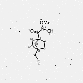 CON(C)C(=O)C12CCC(CF)(C1)OC2